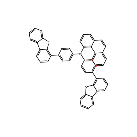 c1ccc2c(c1)ccc1cccc(N(c3ccc(-c4cccc5c4oc4ccccc45)cc3)c3ccc(-c4cccc5c4sc4ccccc45)cc3)c12